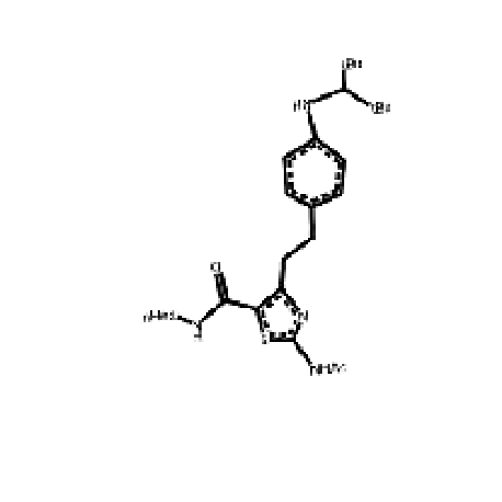 CCCCCCNC(=O)c1sc(NC(C)=O)nc1CCc1ccc(NC(C(C)(C)C)C(C)(C)C)cc1